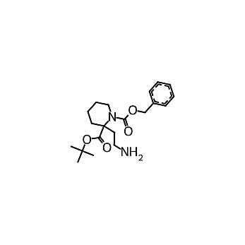 CC(C)(C)OC(=O)C1(CCN)CCCCN1C(=O)OCc1ccccc1